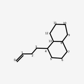 C=CCCC1CCCC2CCCCC12